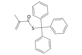 C=C(C)C(=O)SC(c1ccccc1)(c1ccccc1)c1ccccc1